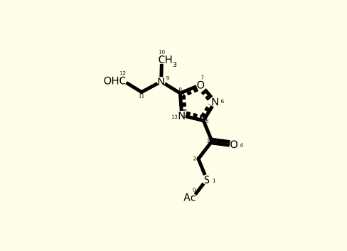 CC(=O)SCC(=O)c1noc(N(C)CC=O)n1